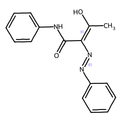 C/C(O)=C(\N=N\c1ccccc1)C(=O)Nc1ccccc1